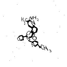 CCc1ccc(CN(C(=O)c2ccc3nc(N)c(C)cc3c2)C(C)C2CCOCC2)nc1